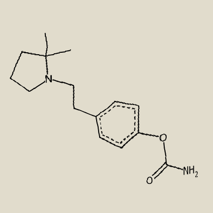 CC1(C)CCCN1CCc1ccc(OC(N)=O)cc1